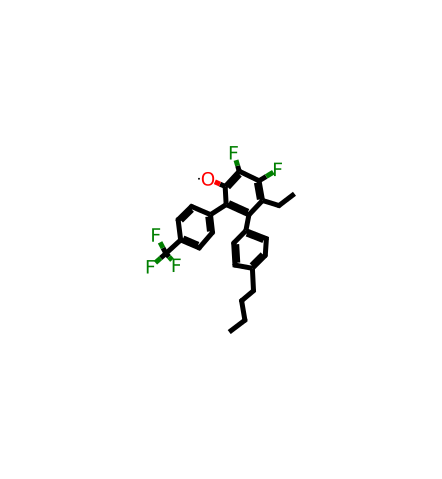 CCCCc1ccc(-c2c(CC)c(F)c(F)c([O])c2-c2ccc(C(F)(F)F)cc2)cc1